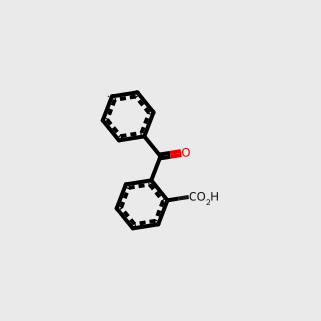 O=C(O)c1ccccc1C(=O)c1cc[c]cc1